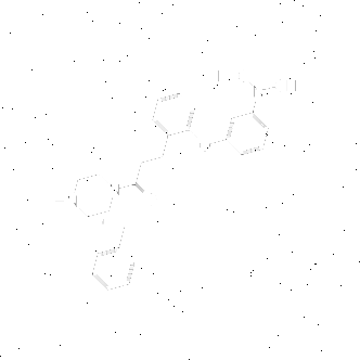 CN(C)c1cccc(Oc2ccccc2CCC(=O)N2CCNC[C@H]2Cc2ccccc2)c1